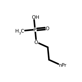 CCCCCOP(C)(=O)O